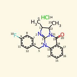 CC1N=C2N(Cc3ccc(F)cc3)c3ccccc3C(=O)N2C1C.Cl